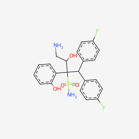 NCC(O)C(c1ccccc1O)(C(c1ccc(F)cc1)c1ccc(F)cc1)S(N)(=O)=O